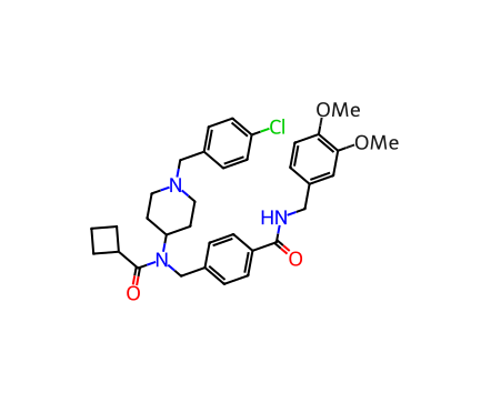 COc1ccc(CNC(=O)c2ccc(CN(C(=O)C3CCC3)C3CCN(Cc4ccc(Cl)cc4)CC3)cc2)cc1OC